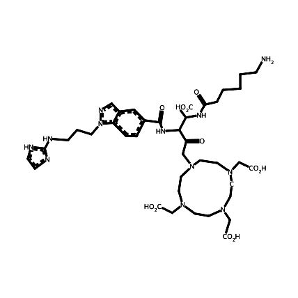 NCCCCCC(=O)NC(C(=O)O)C(NC(=O)c1ccc2c(cnn2CCCNc2ncc[nH]2)c1)C(=O)CN1CCN(CC(=O)O)CCN(CC(=O)O)CCN(CC(=O)O)CC1